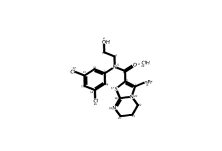 CCCC1=C(C(=O)N(CCO)c2cc(Cl)cc(Cl)c2)SC2=NCCCN21.Cl